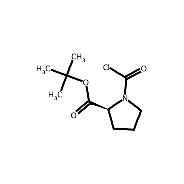 CC(C)(C)OC(=O)[C@@H]1CCCN1C(=O)Cl